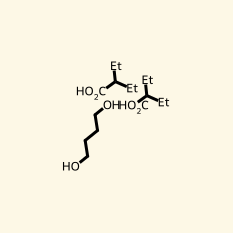 CCC(CC)C(=O)O.CCC(CC)C(=O)O.OCCCCO